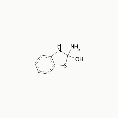 NC1(O)Nc2ccccc2S1